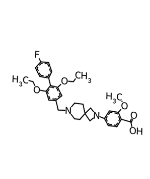 CCOc1cc(CN2CCC3(CC2)CN(c2ccc(C(=O)O)c(OC)c2)C3)cc(OCC)c1-c1ccc(F)cc1